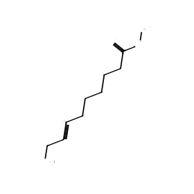 CCCOC(=O)CCCCCC=CCOC